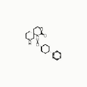 O=C1N[C@]2(CCCN[C@H]2CO[C@H]2CC[C@@H](c3ccccc3)CC2)CCO1